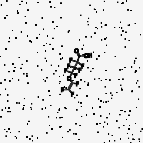 O=C(O)C(F)(F)C(F)(F)C(F)(F)OC(F)=C(F)F